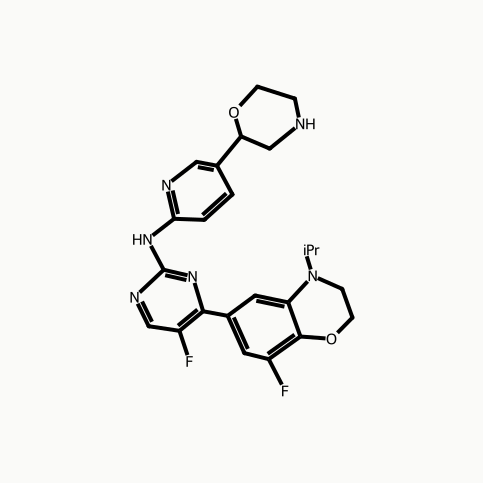 CC(C)N1CCOc2c(F)cc(-c3nc(Nc4ccc(C5CNCCO5)cn4)ncc3F)cc21